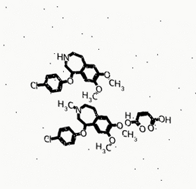 COc1cc2c(cc1OC)C(Oc1ccc(Cl)cc1)CN(C)CC2.COc1cc2c(cc1OC)C(Oc1ccc(Cl)cc1)CNCC2.O=C(O)/C=C\C(=O)O